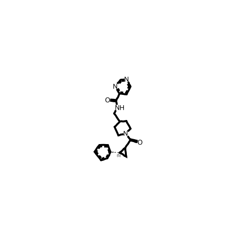 O=C(NCC1CCN(C(=O)C2C[C@@H]2c2ccccc2)CC1)c1ccncn1